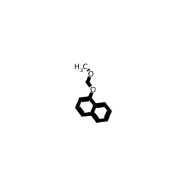 COCOc1cccc2ccccc12